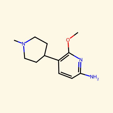 COc1nc(N)ccc1C1CCN(C)CC1